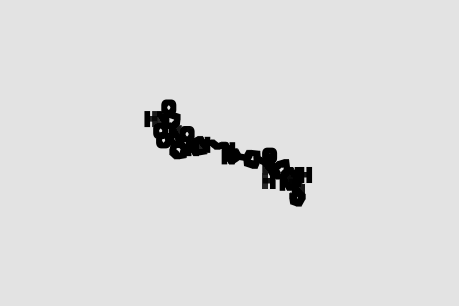 O=C1CCC(N2C(=O)c3cccc(N4CCN(CCCn5cc(-c6ccc(C(=O)Nc7ccc8[nH]c(CN9CCCC9)nc8c7)cc6)cn5)CC4)c3C2=O)C(=O)N1